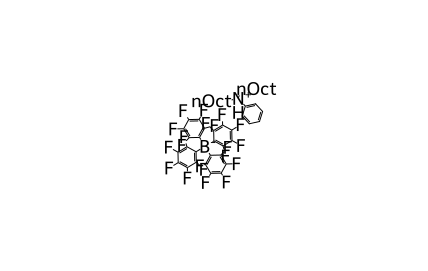 CCCCCCCC[NH+](CCCCCCCC)c1ccccc1.Fc1c(F)c(F)c([B-](c2c(F)c(F)c(F)c(F)c2F)(c2c(F)c(F)c(F)c(F)c2F)c2c(F)c(F)c(F)c(F)c2F)c(F)c1F